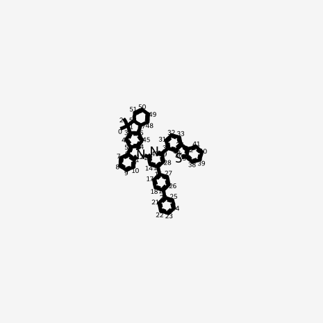 CC1(C)c2cc3c4ccccc4n(-c4cc(-c5ccc(-c6ccccc6)cc5)cc(-c5cccc6c5sc5ccccc56)n4)c3cc2C2C=CC=CC21